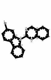 Brc1ccc2c3ccccc3n(-c3ncc4ccccc4n3)c2c1